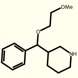 COCCOC(c1ccccc1)C1CCCNC1